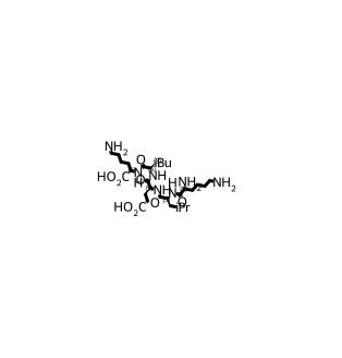 CC[C@H](C)[C@H](NC(=O)[C@H](CCC(=O)O)NC(=O)[C@H](CC(C)C)NC(=O)[C@@H](N)CCCCN)C(=O)N[C@@H](CCCCN)C(=O)O